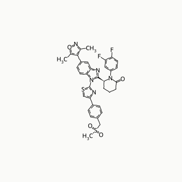 Cc1noc(C)c1-c1ccc2c(c1)nc([C@@H]1CCCC(=O)N1c1ccc(F)c(F)c1)n2-c1nc(-c2ccc(CS(C)(=O)=O)cc2)cs1